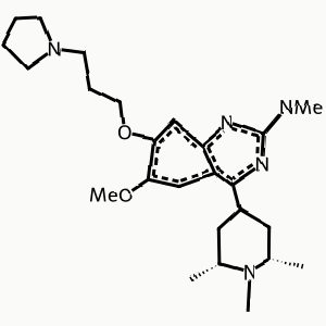 CNc1nc(C2C[C@@H](C)N(C)[C@@H](C)C2)c2cc(OC)c(OCCCN3CCCC3)cc2n1